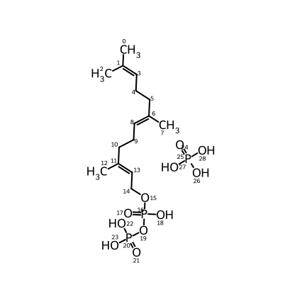 CC(C)=CCCC(C)=CCCC(C)=CCOP(=O)(O)OP(=O)(O)O.O=P(O)(O)O